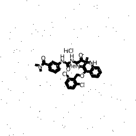 CNC1=C(OCc2c(Cl)cccc2Cl)c2ccccc2NC1(C)C(=O)CNC(=O)Nc1cccc(C(=O)N(C)C)c1.Cl